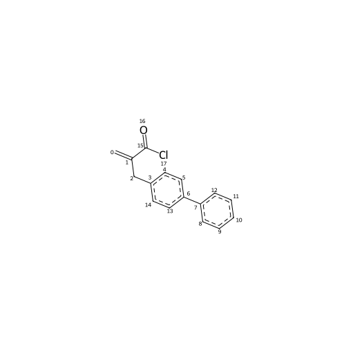 C=C(Cc1ccc(-c2ccccc2)cc1)C(=O)Cl